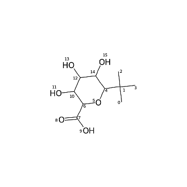 CC(C)(C)C1OC(C(=O)O)C(O)C(O)C1O